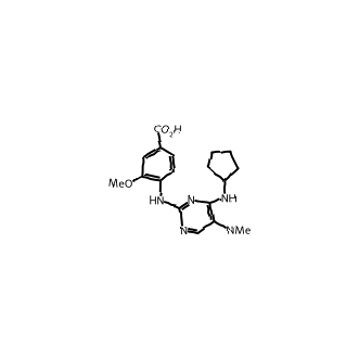 CNc1cnc(Nc2ccc(C(=O)O)cc2OC)nc1NC1CCCC1